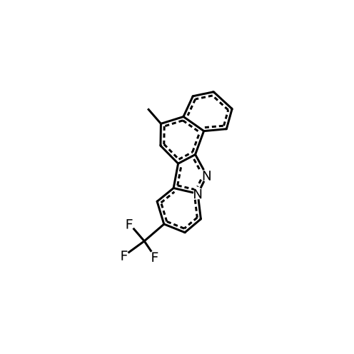 Cc1cc2c(nn3ccc(C(F)(F)F)cc23)c2ccccc12